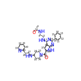 CC(=O)NCCNc1nc(-c2ccccc2)nc2[nH]c(C(=O)N3CCC(NCCc4ccccn4)CC3)cc12